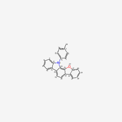 Cc1ccc(-n2c3ccccc3c3ccc4c5ccccc5oc4c32)cc1